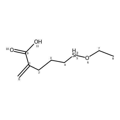 C=C(CCC[SiH2]OCC)C(=O)O